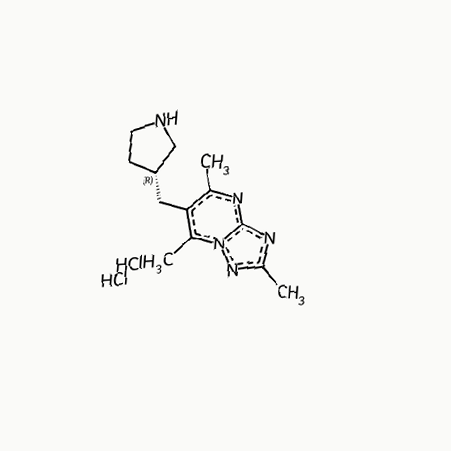 Cc1nc2nc(C)c(C[C@@H]3CCNC3)c(C)n2n1.Cl.Cl